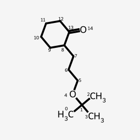 CC(C)(C)OCCCC1CCCCC1=O